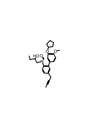 CC#CCc1ccc(N(C=O)CC(O)CC)c(-c2ccc(OC)c(OC3CCCC3)c2)c1